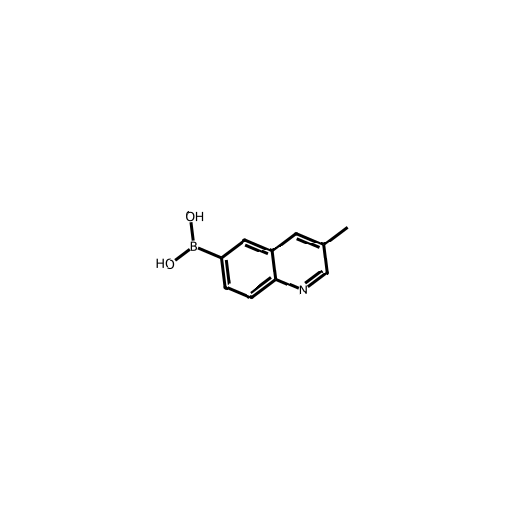 Cc1cnc2ccc(B(O)O)cc2c1